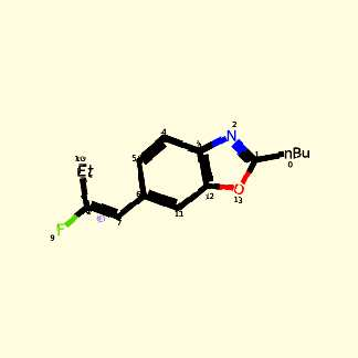 CCCCc1nc2ccc(/C=C(/F)CC)cc2o1